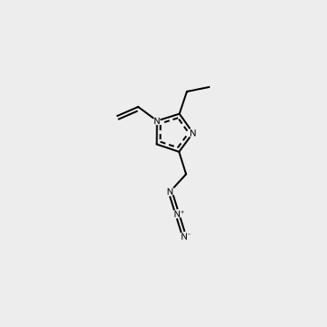 C=Cn1cc(CN=[N+]=[N-])nc1CC